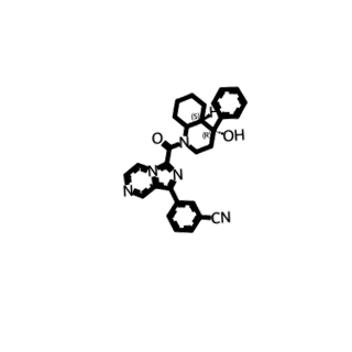 N#Cc1cccc(-c2nc(C(=O)N3CC[C@](O)(c4ccccc4)[C@H]4CCCCC43)n3ccncc23)c1